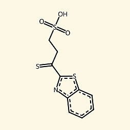 O=S(=O)(O)CCC(=S)c1nc2ccccc2s1